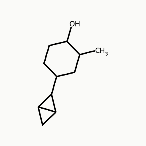 CC1CC(C2C3CC32)CCC1O